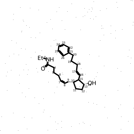 CCNC(=O)CCC/C=C\C[C@H]1CC[C@@H](O)C1/C=C/CCCc1ccccc1